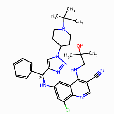 CC(C)(O)CNc1c(C#N)cnc2c(Cl)cc(N[C@@H](c3ccccc3)c3cn(C4CCN(C(C)(C)C)CC4)nn3)cc12